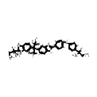 CCC(C)(C)c1ccc(Oc2ccc(-c3nc4cc(C(c5ccc6oc(C(C)(C)CC)nc6c5)(C(F)(F)F)C(F)(F)F)ccc4o3)cc2)cc1